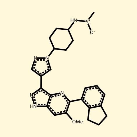 COc1cc2[nH]nc(-c3cnn(C4CCC(N[S+](C)[O-])CC4)c3)c2nc1-c1cccc2c1CCC2